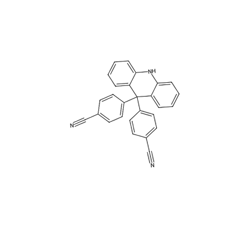 N#Cc1ccc(C2(c3ccc(C#N)cc3)c3ccccc3Nc3ccccc32)cc1